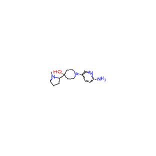 CN1CCCC1C1(O)CCN(c2ccc(N)nc2)CC1